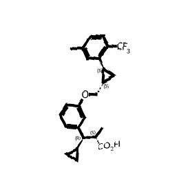 Cc1ccc(C(F)(F)F)c([C@H]2C[C@@H]2COc2cccc([C@H](C3CC3)[C@H](C)C(=O)O)c2)c1